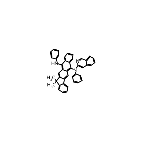 CC1(C)c2ccccc2-c2cc3c(N(c4ccccc4)c4cc5ccccc5cn4)c4ccccc4c(Nc4ccccc4)c3cc21